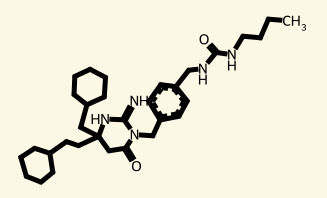 CCCCNC(=O)NCc1ccc(CN2C(=N)NC(CCC3CCCCC3)(CC3CCCCC3)CC2=O)cc1